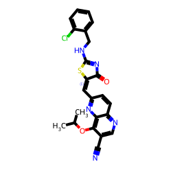 CC(C)Oc1c(C#N)cnc2ccc(/C=C3/SC(NCc4ccccc4Cl)=NC3=O)nc12